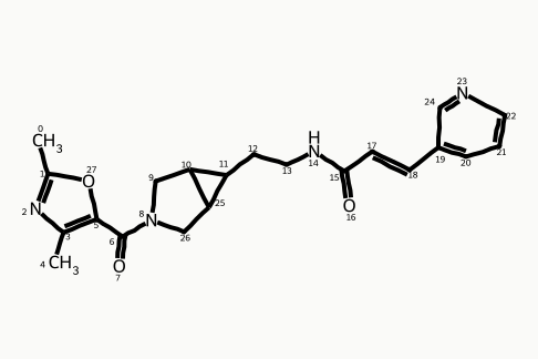 Cc1nc(C)c(C(=O)N2CC3C(CCNC(=O)/C=C/c4cccnc4)C3C2)o1